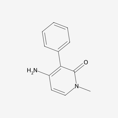 Cn1ccc(N)c(-c2ccccc2)c1=O